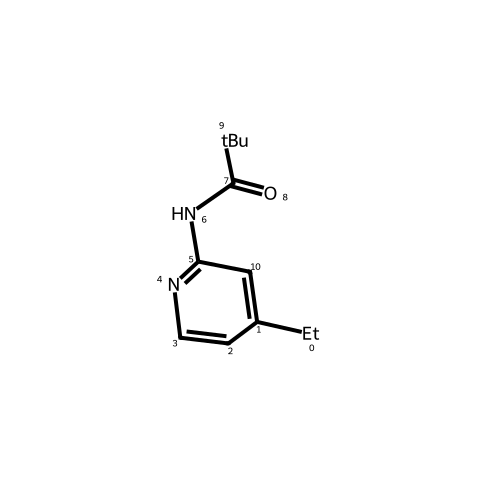 CCc1ccnc(NC(=O)C(C)(C)C)c1